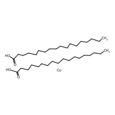 CCCCCCCCCCCCCCCCCC(=O)O.CCCCCCCCCCCCCCCCCC(=O)O.[Co]